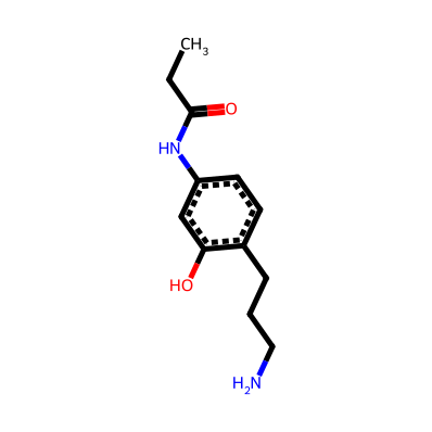 CCC(=O)Nc1ccc(CCCN)c(O)c1